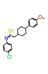 COc1ccc(C2CCC(C/C(S)=N\c3ccc(Cl)cc3)CC2)cc1